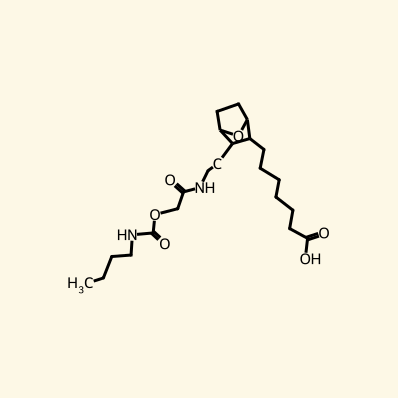 CCCCNC(=O)OCC(=O)NCCC1C2CCC(O2)C1CCCCCCC(=O)O